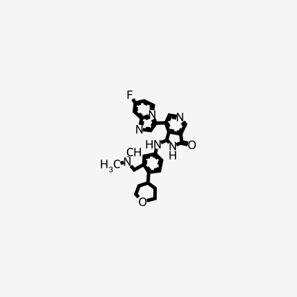 CN(C)Cc1cc(NC2NC(=O)c3cncc(-c4cnc5cc(F)ccn45)c32)ccc1C1CCOCC1